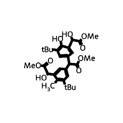 COC(=O)C(O)c1cc(C(C(=O)OC)c2cc(C(O)C(=O)OC)c(O)c(C(C)(C)C)c2)cc(C(C)(C)C)c1C